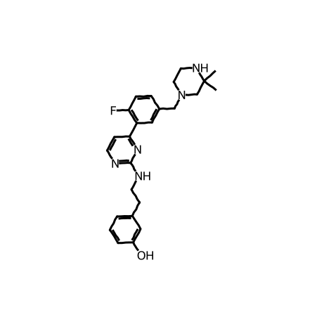 CC1(C)CN(Cc2ccc(F)c(-c3ccnc(NCCc4cccc(O)c4)n3)c2)CCN1